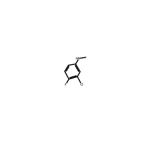 Fc1ccc(NI)cc1Cl